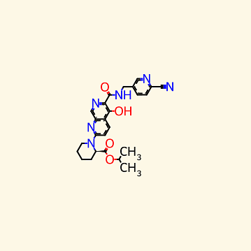 CC(C)OC(=O)[C@H]1CCCCN1c1ccc2c(O)c(C(=O)NCc3ccc(C#N)nc3)ncc2n1